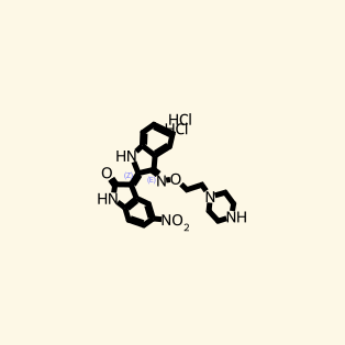 Cl.Cl.O=C1Nc2ccc([N+](=O)[O-])cc2/C1=C1/Nc2ccccc2/C1=N\OCCN1CCNCC1